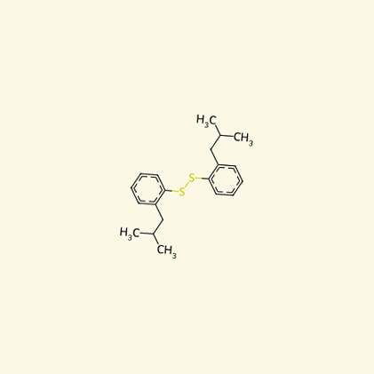 CC(C)Cc1ccccc1SSc1ccccc1CC(C)C